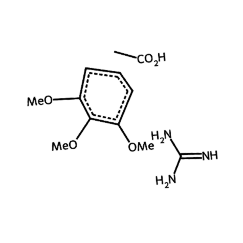 CC(=O)O.COc1cccc(OC)c1OC.N=C(N)N